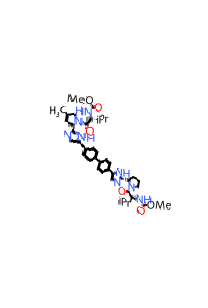 COC(=O)N[C@H](C(=O)N1CCC[C@H]1c1ncc(-c2ccc(-c3ccc(-c4cnc([C@H]5C=C(C)CN5C(=O)[C@H](NC(=O)OC)C(C)C)[nH]4)cc3)cc2)[nH]1)C(C)C